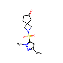 COc1cc(S(=O)(=O)N2CC3(CCC(=O)C3)C2)n(C)n1